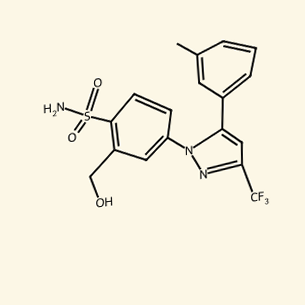 Cc1cccc(-c2cc(C(F)(F)F)nn2-c2ccc(S(N)(=O)=O)c(CO)c2)c1